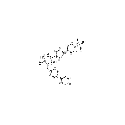 O=C([AsH][C@@H](Cc1ccc(-c2ccccc2)cc1)C(=O)O)c1ccc(-c2ccc(C(F)(F)F)cc2)cc1